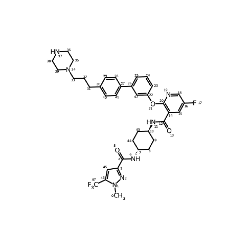 Cn1nc(C(=O)N[C@H]2CC[C@H](NC(=O)c3cc(F)cnc3Oc3cccc(-c4ccc(CCCN5CCNCC5)cc4)c3)CC2)cc1C(F)(F)F